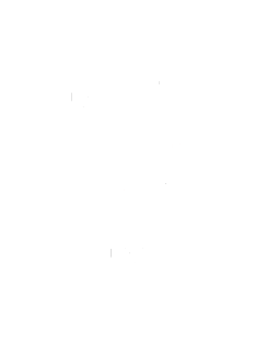 C=CC(C)OC(=O)/C=C\C(=O)O